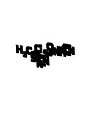 Cc1sc2ncnc(SCC(=O)NCc3ccncc3)c2c1Cl